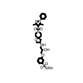 CNS(=O)(=O)c1cccc(OC[C@@H](O)CNC2COC3(CCN(S(=O)(=O)c4c(C)nn(-c5ccccc5)c4C)CC3)C2)c1